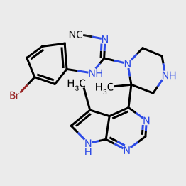 Cc1c[nH]c2ncnc(C3(C)CNCCN3C(=NC#N)Nc3cccc(Br)c3)c12